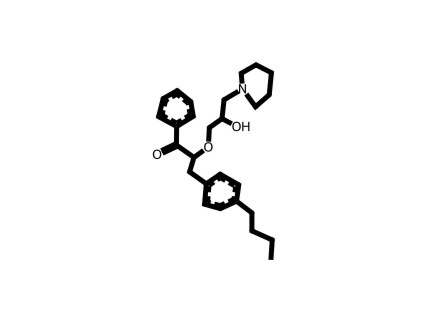 CCCCc1ccc(CC(OCC(O)CN2CCCCC2)C(=O)c2ccccc2)cc1